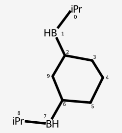 CC(C)BC1CCCC(BC(C)C)C1